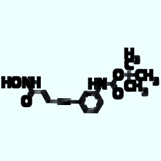 CC(C)(C)OC(=O)Nc1cccc(C#CC=CC(=O)NO)c1